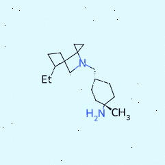 CCC1CCC12CN(C[C@H]1CC[C@@](C)(N)CC1)C21CC1